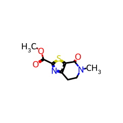 COC(=O)c1nc2c(s1)C(=O)N(C)CC2